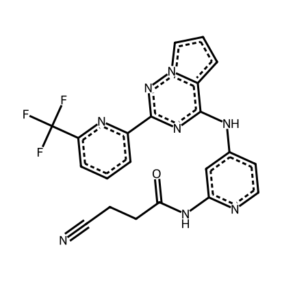 N#CCCC(=O)Nc1cc(Nc2nc(-c3cccc(C(F)(F)F)n3)nn3cccc23)ccn1